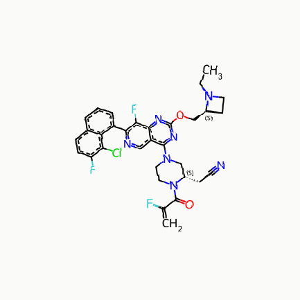 C=C(F)C(=O)N1CCN(c2nc(OC[C@@H]3CCN3CC)nc3c(F)c(-c4cccc5ccc(F)c(Cl)c45)ncc23)C[C@@H]1CC#N